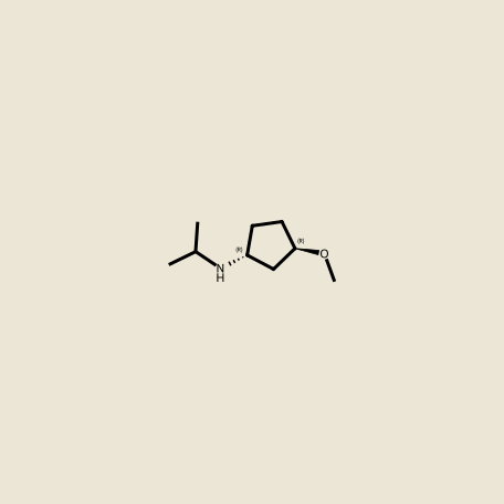 CO[C@@H]1CC[C@@H](NC(C)C)C1